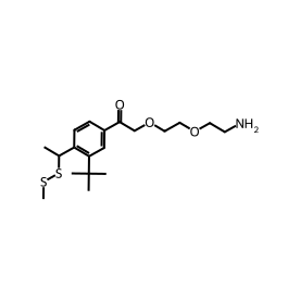 CSSC(C)c1ccc(C(=O)COCCOCCN)cc1C(C)(C)C